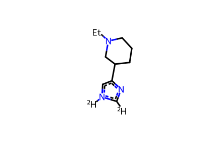 [2H]c1nc(C2CCCN(CC)C2)cn1[2H]